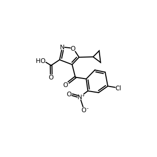 O=C(O)c1noc(C2CC2)c1C(=O)c1ccc(Cl)cc1[N+](=O)[O-]